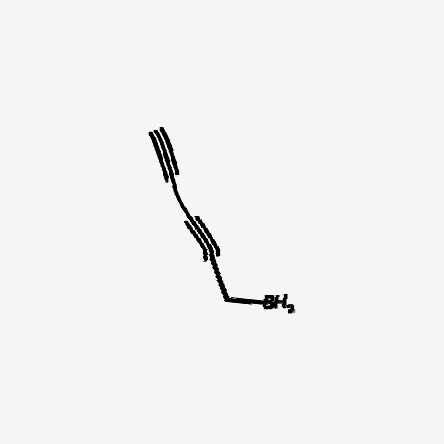 BCC#CC#C